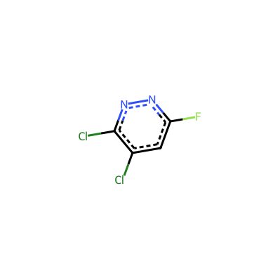 Fc1cc(Cl)c(Cl)nn1